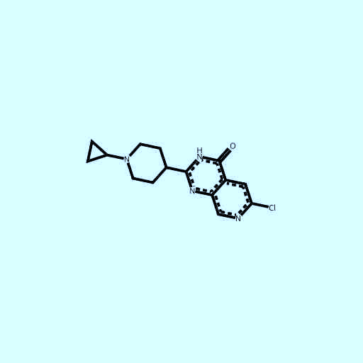 O=c1[nH]c(C2CCN(C3CC3)CC2)nc2cnc(Cl)cc12